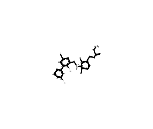 C=C(CCc1ccc(C)c(NCc2cc(C)cc(-c3cccc(F)c3)c2F)c1C)CC(C)C